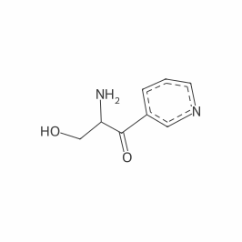 NC(CO)C(=O)c1cccnc1